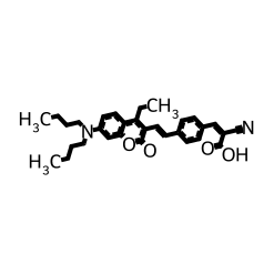 CCCCN(CCCC)c1ccc2c(CC)c(/C=C/c3ccc(C=C(C#N)C(=O)O)cc3)c(=O)oc2c1